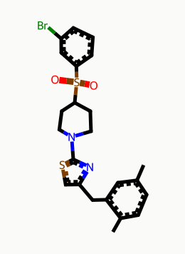 Cc1ccc(C)c(Cc2csc(N3CCC(S(=O)(=O)c4cccc(Br)c4)CC3)n2)c1